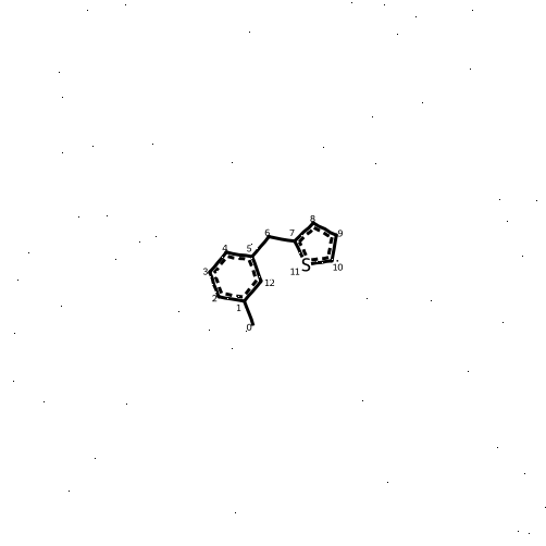 Cc1cccc(Cc2cc[c]s2)c1